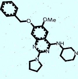 COc1cc2c(NC3CCCNC3)nc(N3CCCC3)nc2cc1OCc1ccccc1